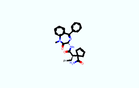 CC(C)C[C@@H](C(=O)N[C@H]1N=C(c2ccccc2)c2ccccc2N(C)C1=O)C1(C(N)=O)CC=CC1